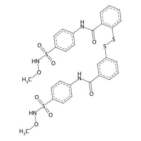 CONS(=O)(=O)c1ccc(NC(=O)c2cccc(SSc3ccccc3C(=O)Nc3ccc(S(=O)(=O)NOC)cc3)c2)cc1